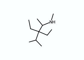 CCC(CC)(C(C)C)C(C)NC